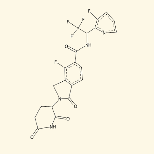 O=C1CCC(N2Cc3c(ccc(C(=O)NC(c4ncccc4F)C(F)(F)F)c3F)C2=O)C(=O)N1